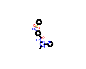 Cc1nc(NC(=O)c2ccc(NS(=O)(=O)c3ccccc3)cc2)nc(-c2ccccn2)n1